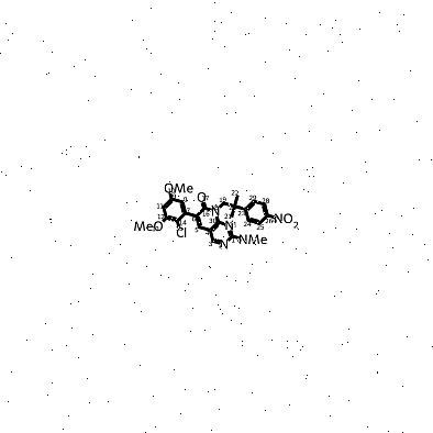 CNc1ncc2cc(-c3cc(OC)cc(OC)c3Cl)c(=O)n(CC(C)(C)c3ccc([N+](=O)[O-])cc3)c2n1